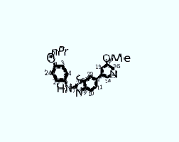 CCCOc1ccc(Nc2nc3ccc(-c4cncc(OC)c4)cc3s2)cc1